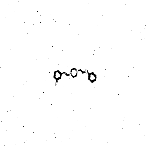 Fc1cccc(CCN2CCN(CCOc3ccccc3)CC2)c1